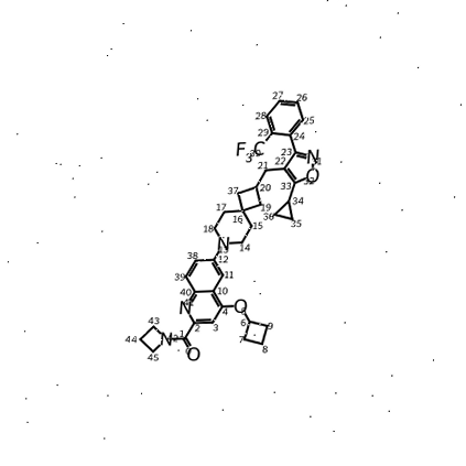 O=C(c1cc(OC2CCC2)c2cc(N3CCC4(CC3)CC(Cc3c(-c5ccccc5C(F)(F)F)noc3C3CC3)C4)ccc2n1)N1CCC1